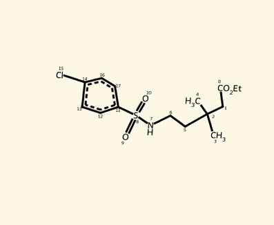 CCOC(=O)CC(C)(C)CCNS(=O)(=O)c1ccc(Cl)cc1